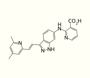 Cc1cc(C)nc(/C=C/c2n[nH]c3cc(Nc4ncccc4C(=O)O)ccc23)c1